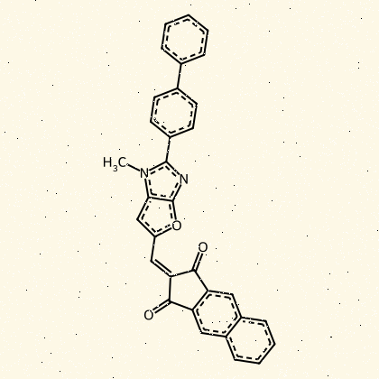 Cn1c(-c2ccc(-c3ccccc3)cc2)nc2oc(C=C3C(=O)c4cc5ccccc5cc4C3=O)cc21